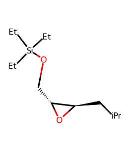 CC[Si](CC)(CC)OC[C@H]1O[C@@H]1CC(C)C